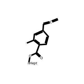 [CH2]c1cc(C=C=C)ccc1C(=O)OCCCCCCC